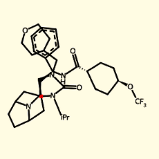 CC(C)N1C(=O)N(CC2CCOCC2)CC12CC1CCC(C2)N1CC[C@H](NC(=O)[C@H]1CC[C@H](OC(F)(F)F)CC1)c1ccccc1